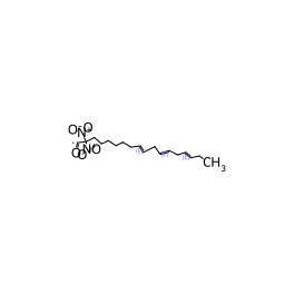 CC/C=C/C/C=C/C/C=C/CCCCCCC([C]=O)([N+](=O)[O-])[N+](=O)[O-]